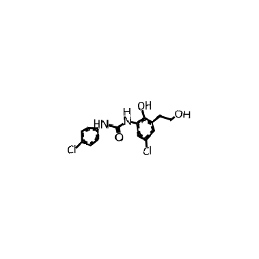 O=C(Nc1ccc(Cl)cc1)Nc1cc(Cl)cc(CCO)c1O